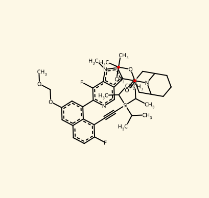 COCOc1cc(-c2ncc3c(N4CC5CCCC(C4)N5C(=O)OC(C)(C)C)nn(C)c3c2F)c2c(C#C[Si](C(C)C)(C(C)C)C(C)C)c(F)ccc2c1